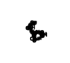 COc1cc2cc(c1Cl)N(C)C(=O)C[C@H](OC(=O)C1CCC(CSC3CC(=O)N(C[C@H]4CC[C@H](C(=O)NN5CCC5)CC4)C3=O)CC1)[C@]1(C)O[C@H]1[C@H](C)C1C[C@@](O)(NC(=O)O1)[C@H](OC)/C=C/C=C(\C)C2